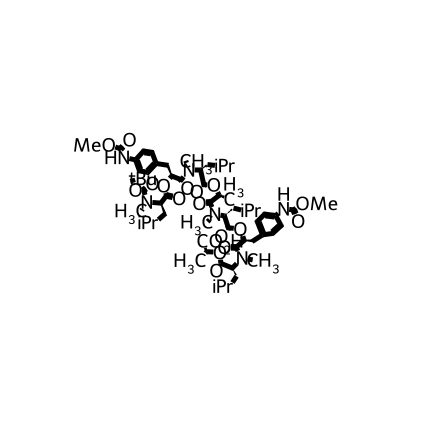 COC(=O)Nc1ccc(C[C@H](OC(=O)[C@@H](CC(C)C)N(C)C(=O)OC(C)(C)C)C(=O)N(C)[C@H](CC(C)C)C(=O)O[C@@H](C)C(=O)N(C)[C@H](CC(C)C)C(=O)O[C@@H](Cc2ccc(NC(=O)OC)cc2)C(=O)N(C)[C@H](CC(C)C)C(=O)O[C@@H](C)C(=O)O)cc1